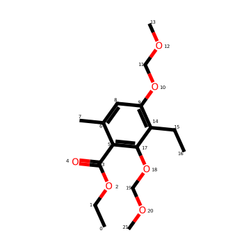 CCOC(=O)c1c(C)cc(OCOC)c(CC)c1OCOC